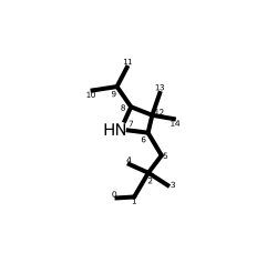 CCC(C)(C)CC1NC(C(C)C)C1(C)C